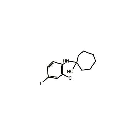 N#CC1(Nc2ccc(F)cc2Cl)CCCCCC1